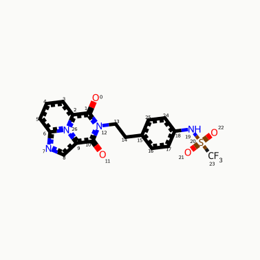 O=c1c2cccc3ncc(c(=O)n1CCc1ccc(NS(=O)(=O)C(F)(F)F)cc1)n32